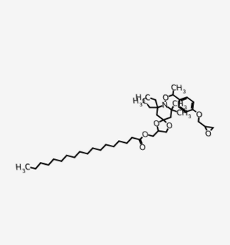 CCCCCCCCCCCCCCCCCC(=O)OCC1COC2(CC(C)(C)N(OC(C)c3ccc(OCC4CO4)cc3)C(CC)(CC)C2)O1